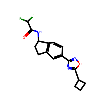 O=C(NC1CCc2cc(-c3noc(C4CCC4)n3)ccc21)C(F)F